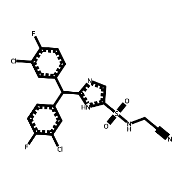 N#CCNS(=O)(=O)c1cnc(C(c2ccc(F)c(Cl)c2)c2ccc(F)c(Cl)c2)[nH]1